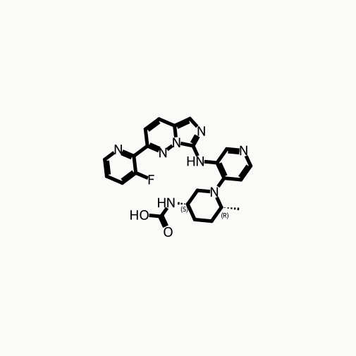 C[C@@H]1CC[C@H](NC(=O)O)CN1c1ccncc1Nc1ncc2ccc(-c3ncccc3F)nn12